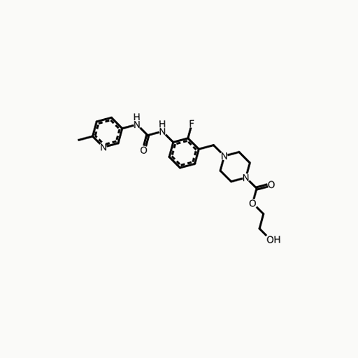 Cc1ccc(NC(=O)Nc2cccc(CN3CCN(C(=O)OCCO)CC3)c2F)cn1